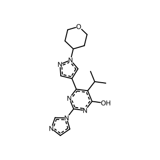 CC(C)c1c(O)nc(-n2ccnc2)nc1-c1cnn(C2CCOCC2)c1